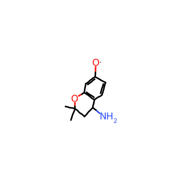 CC1(C)CC(N)c2ccc([O])cc2O1